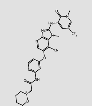 Cn1cc(C(F)(F)F)cc(Nc2nc3ncc(Oc4ccnc(NC(=O)C[C@@H]5CCCCO5)c4)c(C#N)c3n2C)c1=O